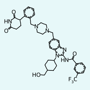 O=C1CCC(c2ccccc2CN2CCN(Cc3ccc4c(c3)nc(NC(=O)c3cccc(C(F)(F)F)c3)n4C3CCC(CO)CC3)CC2)C(=O)N1